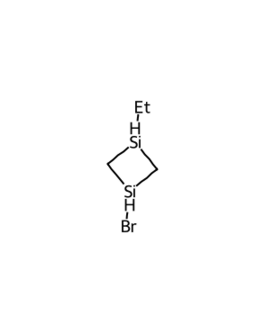 CC[SiH]1C[SiH](Br)C1